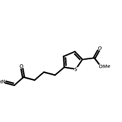 COC(=O)c1ccc(CCCC(=O)C=N)s1